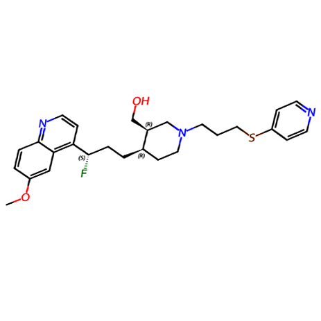 COc1ccc2nccc([C@@H](F)CC[C@@H]3CCN(CCCSc4ccncc4)C[C@@H]3CO)c2c1